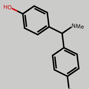 CNC(c1ccc(C)cc1)c1ccc(O)cc1